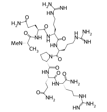 CN[C@@H](C)C(=O)N[C@@H](CCC(N)=O)C(=O)N[C@@H](CCCNC(=N)N)C(=O)N[C@@H](CCCNC(=N)N)C(=O)N1CCC[C@H]1C(=O)N[C@@H](CCC(N)=O)C(=O)N[C@@H](CCCNC(=N)N)C(N)=O